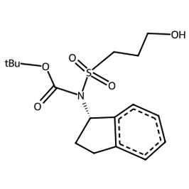 CC(C)(C)OC(=O)N([C@H]1CCc2ccccc21)S(=O)(=O)CCCO